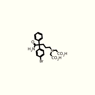 NC(=O)C(CCCN(CC(=O)O)CC(=O)O)(c1ccccc1)c1ccc(Br)cc1